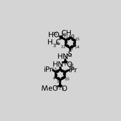 COC(=O)c1cc(C(C)C)c(NC(=O)NSc2cccc(C(C)(C)O)c2)c(C(C)C)c1